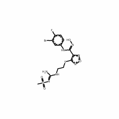 CS(=O)(=O)/N=C(\N)NCCSc1nonc1/C(=N/O)Nc1ccc(F)c(Br)c1